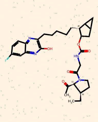 CC[C@@H]1CCN(C(=O)CNC(=O)OC2CC3CC3[C@H]2CCCCCc2nc3ccc(F)cc3nc2O)[C@@H]1C(C)=O